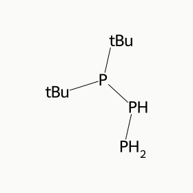 CC(C)(C)P(PP)C(C)(C)C